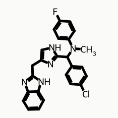 CN(c1ccc(F)cc1)C(c1ccc(Cl)cc1)c1nc(Cc2nc3ccccc3[nH]2)c[nH]1